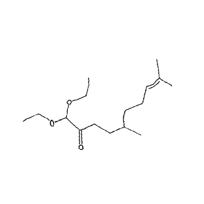 CCOC(OCC)C(=O)CCC(C)CCC=C(C)C